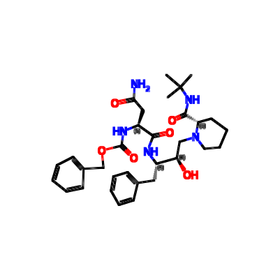 CC(C)(C)NC(=O)[C@@H]1CCCCN1C[C@@H](O)[C@H](Cc1ccccc1)NC(=O)[C@H](CC(N)=O)NC(=O)OCc1ccccc1